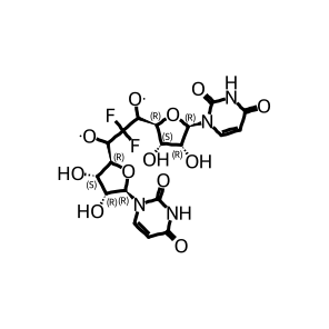 [O]C([C@H]1O[C@@H](n2ccc(=O)[nH]c2=O)[C@H](O)[C@@H]1O)C(F)(F)C([O])[C@H]1O[C@@H](n2ccc(=O)[nH]c2=O)[C@H](O)[C@@H]1O